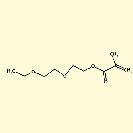 C=C(C)C(=O)OCCOCCOCC